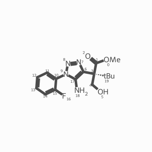 COC(=O)[C@@](CO)(c1nnn(-c2ccccc2F)c1N)C(C)(C)C